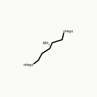 CCCCCCCCCCCCCCCCCCC.[AlH3]